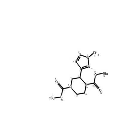 Cn1nnc(C2CN(C(=O)OC(C)(C)C)CCN2C(=O)OC(C)(C)C)n1